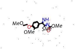 COCCOc1ccc(C(=N)/C(=N/C(=O)OC)SC)cc1OC